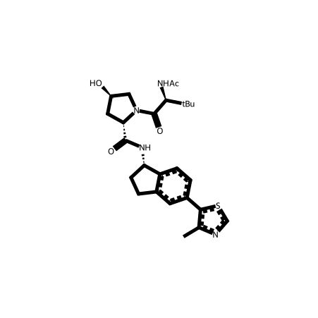 CC(=O)N[C@H](C(=O)N1C[C@H](O)C[C@H]1C(=O)N[C@H]1CCc2cc(-c3scnc3C)ccc21)C(C)(C)C